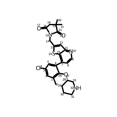 Cc1cc(Cl)cc(-c2ccnc3cc(CN4C(=O)CC(C)(C)C4=O)sc23)c1O[C@H]1CCCNC1